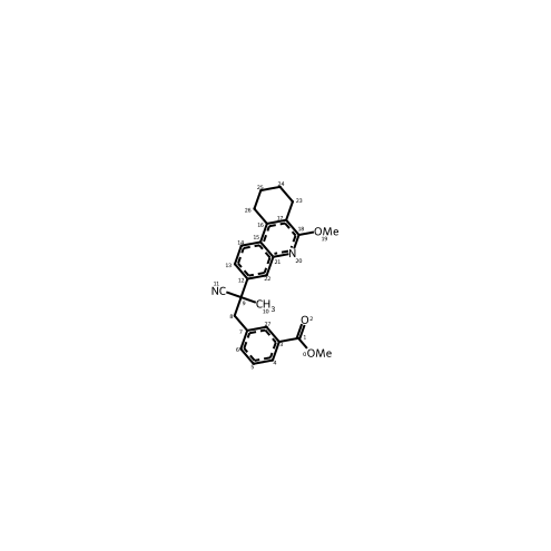 COC(=O)c1cccc(CC(C)(C#N)c2ccc3c4c(c(OC)nc3c2)CCCC4)c1